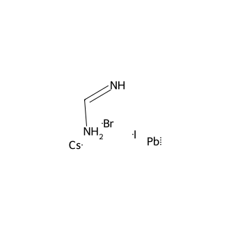 N=CN.[Br].[Cs].[I].[Pb]